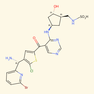 N[C@@H](c1cccc(Br)n1)c1cc(C(=O)c2cncnc2N[C@H]2C[C@H](O)[C@@H]([CH]NS(=O)(=O)O)C2)sc1Cl